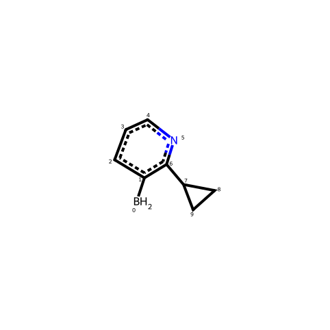 Bc1cccnc1C1CC1